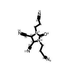 N#CCCN1C(=O)N(CCC#N)C(C#N)C1C#N